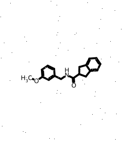 COc1cccc(CNC(=O)C2Cc3ccccc3C2)c1